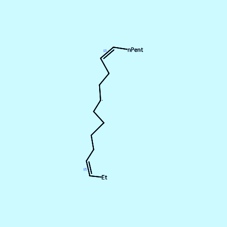 CC/C=C\CCCC[CH]CC/C=C\CCCCC